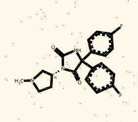 CN1CC[C@@H](N2C(=O)NC(c3ccc(F)cc3)(c3ccc(F)cc3)C2=O)C1